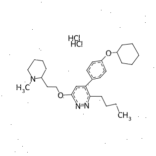 CCCCc1nnc(OCCC2CCCCN2C)cc1-c1ccc(OC2CCCCC2)cc1.Cl.Cl